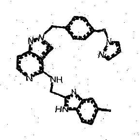 Cc1ccc2[nH]c(CNc3nccc4nn(Cc5ccc(Cn6cccn6)cc5)cc34)nc2c1